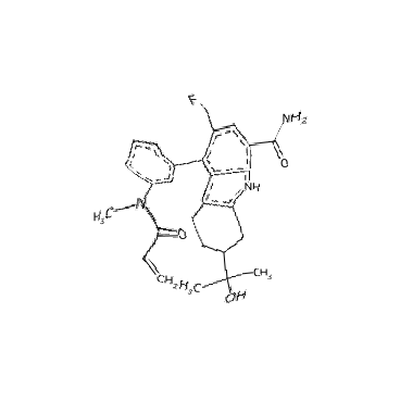 C=CC(=O)N(C)c1cccc(-c2c(F)cc(C(N)=O)c3[nH]c4c(c23)CCC(C(C)(C)O)C4)c1